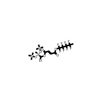 CCC(OC(=O)/C=C/C(=O)OC(F)(F)C(F)(F)C(F)(F)C(C)(F)F)[Si](C)(O[Si](C)(C)C)O[Si](C)(C)C